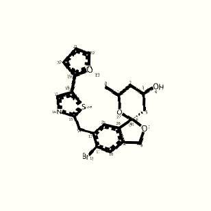 CC1CC(O)C[C@@]2(OCc3cc(Br)c(Cc4ncc(-c5ccco5)s4)cc32)O1